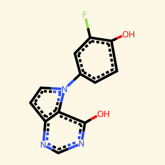 Oc1ccc(-n2ccc3ncnc(O)c32)cc1F